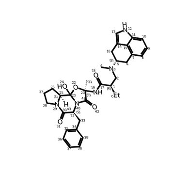 CC[C@H](CN(C)[C@H]1Cc2cccc3[nH]cc(c23)C1)C(=O)N[C@]1(C)OC2(O)[C@@H]3CCCN3C(=O)[C@H](Cc3ccccc3)N2C1=O